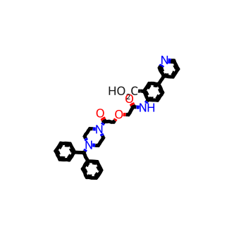 O=C(COCC(=O)N1CCN(C(c2ccccc2)c2ccccc2)CC1)Nc1ccc(-c2cccnc2)cc1C(=O)O